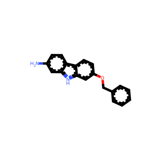 Nc1ccc2c(c1)[nH]c1cc(OCc3ccccc3)ccc12